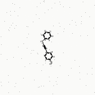 Fc1ccc(C#CSc2ccccc2)cc1